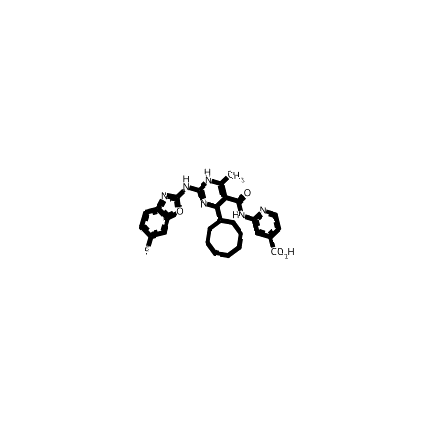 CC1=C(C(=O)Nc2cc(C(=O)O)ccn2)C(C2CCCCCCC2)N=C(Nc2nc3ccc(F)cc3o2)N1